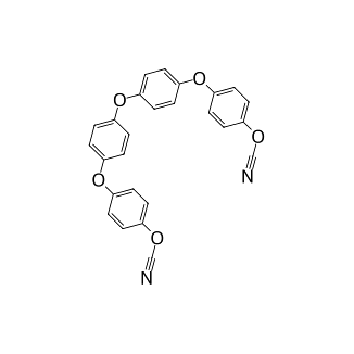 N#COc1ccc(Oc2ccc(Oc3ccc(Oc4ccc(OC#N)cc4)cc3)cc2)cc1